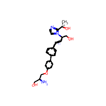 C[C@H](O)c1nccn1C(/C=C/c1ccc(-c2ccc(OCC(N)CO)cc2)cc1)CO